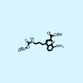 COC(=O)c1cc(CCCNC(=O)OC(C)(C)C)c2cccc(N)c2n1